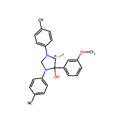 C[C@H]1N(c2ccc(C#N)cc2)CN(c2ccc(C#N)cc2)C1(O)c1cccc(OC(F)(F)F)c1